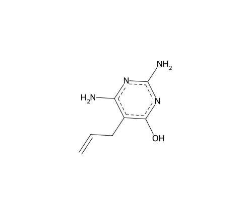 C=CCc1c(N)nc(N)nc1O